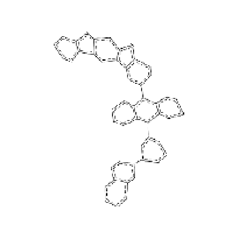 c1cc(-c2ccc3ccccc3c2)cc(-c2c3ccccc3c(-c3ccc4sc5cc6sc7ccccc7c6cc5c4c3)c3ccccc23)c1